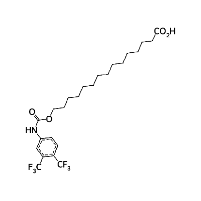 O=C(O)CCCCCCCCCCCCCCOC(=O)Nc1ccc(C(F)(F)F)c(C(F)(F)F)c1